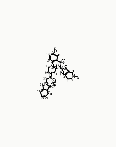 CN1CCc2nc(NC(=O)c3cc(F)ccc3N3CCN(C(=O)CN4Cc5ccccc5C4=O)CC3)sc2C1